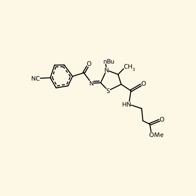 CCCCN1C(=NC(=O)c2ccc(C#N)cc2)SC(C(=O)NCCC(=O)OC)C1C